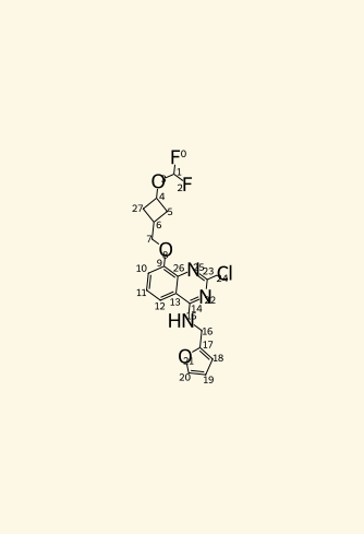 FC(F)OC1CC(COc2cccc3c(NCc4ccco4)nc(Cl)nc23)C1